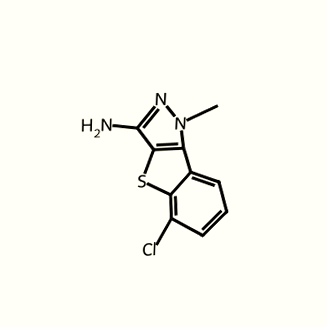 Cn1nc(N)c2sc3c(Cl)cccc3c21